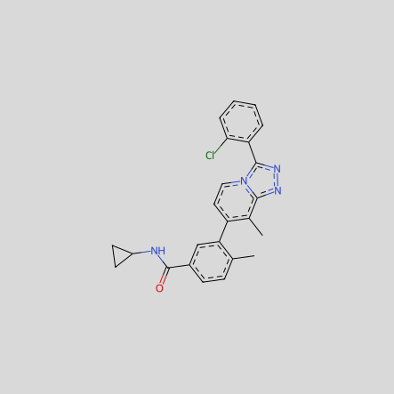 Cc1ccc(C(=O)NC2CC2)cc1-c1ccn2c(-c3ccccc3Cl)nnc2c1C